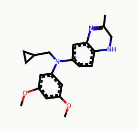 COc1cc(OC)cc(N(CC2CC2)c2ccc3c(c2)N=C(C)CN3)c1